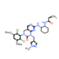 C=CC(=O)N[C@H]1CCCC[C@H]1Nc1ncc2c(n1)N(Cc1cnn(C)c1)C(=O)N(c1c(Cl)c(OC)cc(OC)c1Cl)C2